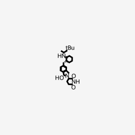 CC(CC(C)(C)C)N[C@H]1CCCC[C@@H]1Cc1ccc2c(c1)CN(C1CCC(=O)NC1=O)C2O